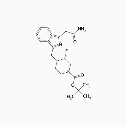 CC(C)(C)OC(=O)N1CCC(Cn2nc(CC(N)=O)c3ccccc32)C(F)C1